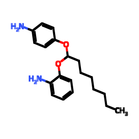 CCCCCCCC(Oc1ccc(N)cc1)Oc1ccccc1N